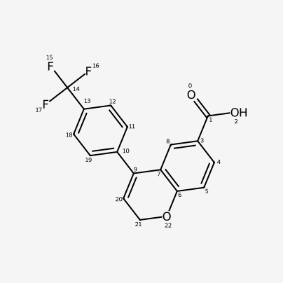 O=C(O)c1ccc2c(c1)C(c1ccc(C(F)(F)F)cc1)=CCO2